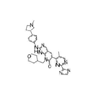 Cc1cnc(-c2nccs2)nc1-c1cc2cnc(Nc3ccc(C4CCN(C)C4)cc3)nc2n(CC2CCOCC2)c1=O